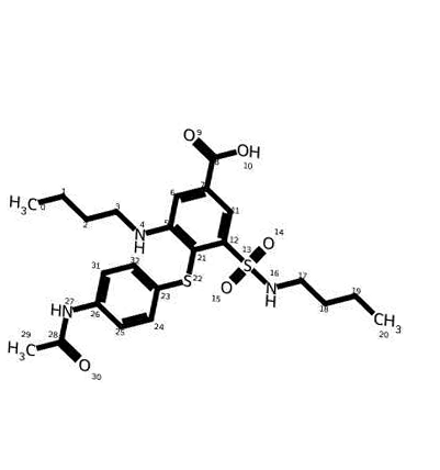 CCCCNc1cc(C(=O)O)cc(S(=O)(=O)NCCCC)c1Sc1ccc(NC(C)=O)cc1